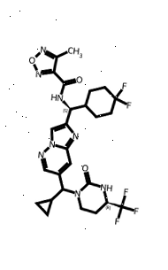 Cc1nonc1C(=O)N[C@H](c1cn2ncc(C(C3CC3)N3CC[C@H](C(F)(F)F)NC3=O)cc2n1)C1CCC(F)(F)CC1